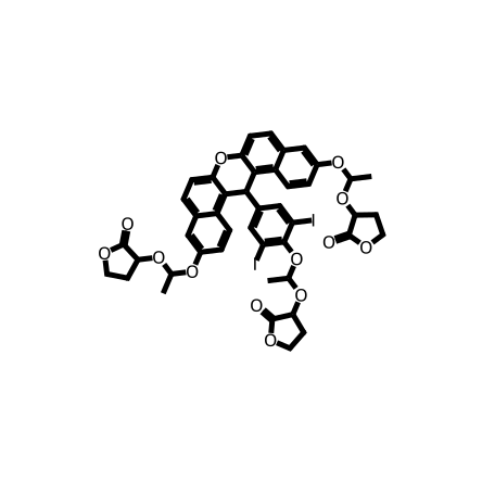 CC(Oc1ccc2c3c(ccc2c1)Oc1ccc2cc(OC(C)OC4CCOC4=O)ccc2c1C3c1cc(I)c(OC(C)OC2CCOC2=O)c(I)c1)OC1CCOC1=O